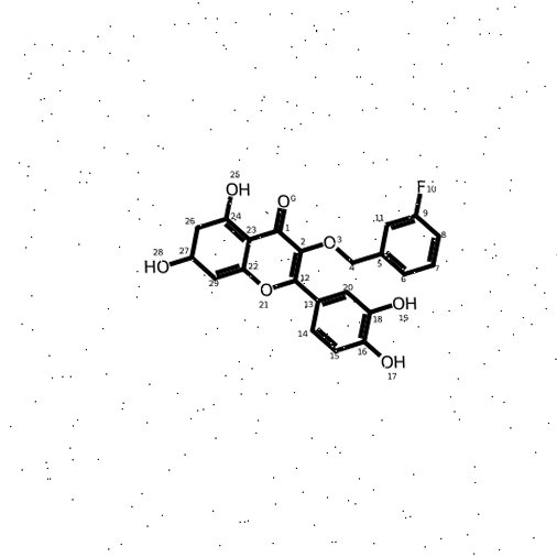 O=c1c(OCc2cccc(F)c2)c(-c2ccc(O)c(O)c2)oc2c1=C(O)CC(O)C=2